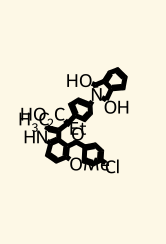 CCC(C(=O)O)(c1ccc(N2C(O)c3ccccc3C2O)cc1)c1c(C)[nH]c2ccc(OC)c(C(=O)c3ccc(Cl)cc3)c12